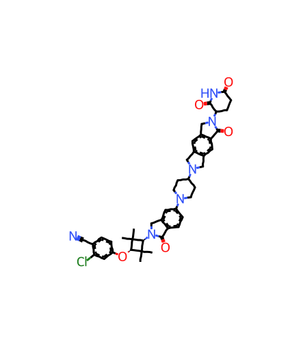 CC1(C)[C@H](Oc2ccc(C#N)c(Cl)c2)C(C)(C)[C@H]1N1Cc2cc(N3CCC(N4Cc5cc6c(cc5C4)C(=O)N(C4CCC(=O)NC4=O)C6)CC3)ccc2C1=O